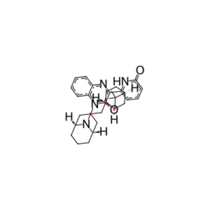 CC1(C)[C@H]2CC[C@@H](CCN3[C@@H]4CCC[C@H]3CC(n3c(=O)c(-c5cccc(=O)[nH]5)nc5ccccc53)C4)[C@@H]1C2